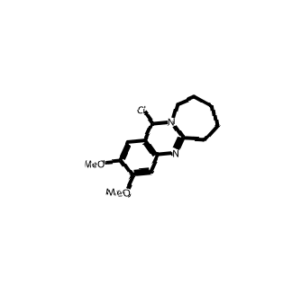 COc1cc2c(cc1OC)C(Cl)N1CCCCCC1=N2